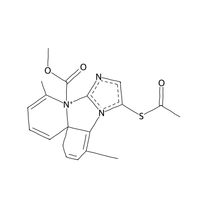 COC(=O)[N+]12C(C)=CC=CC13CC=CC(C)=C3n1c(SC(C)=O)cnc12